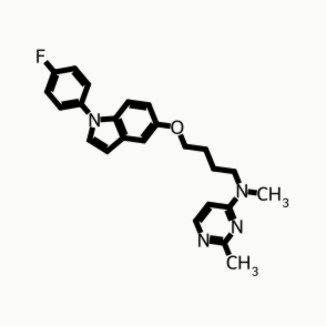 Cc1nccc(N(C)CCCCOc2ccc3c(ccn3-c3ccc(F)cc3)c2)n1